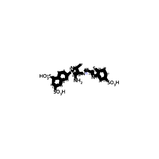 Cc1nn(-c2ccc3c(S(=O)(=O)O)cc(S(=O)(=O)O)cc3c2)c(N)c1/N=N/c1nc2cc(S(=O)(=O)O)ccc2s1